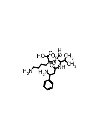 CC(C)C(NC(=O)CC(N)c1ccccc1)P(=O)(O)O[C@@H](CCCCN)C(=O)O